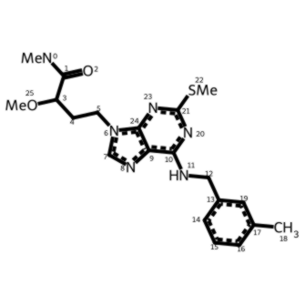 CNC(=O)C(CCn1cnc2c(NCc3cccc(C)c3)nc(SC)nc21)OC